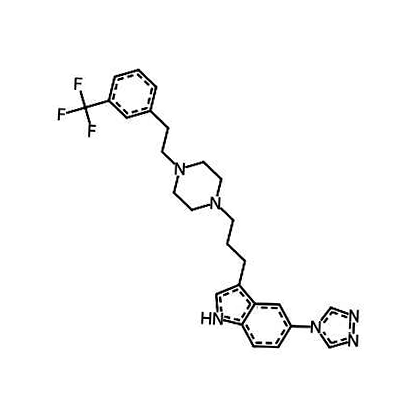 FC(F)(F)c1cccc(CCN2CCN(CCCc3c[nH]c4ccc(-n5cnnc5)cc34)CC2)c1